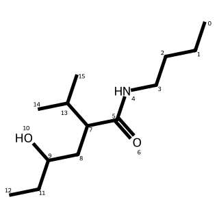 CCCCNC(=O)C(CC(O)CC)C(C)C